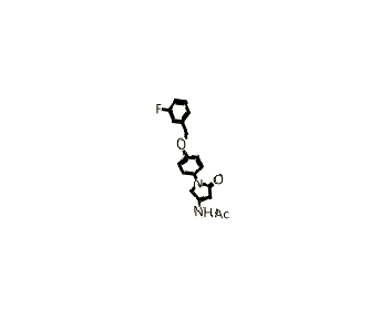 CC(=O)N[C@@H]1CC(=O)N(c2ccc(OCc3cccc(F)c3)cc2)C1